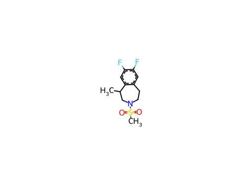 CC1CN(S(C)(=O)=O)CCc2cc(F)c(F)cc21